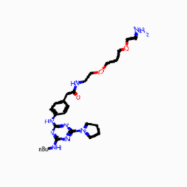 CCCCNc1nc(Nc2ccc(CC(=O)NCCOCCCOCCN)cc2)nc(N2CCCC2)n1